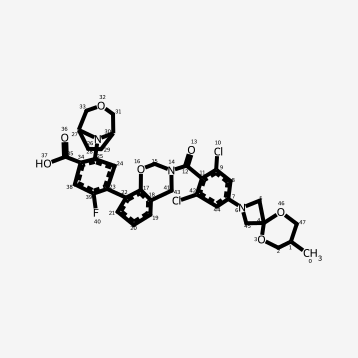 CC1COC2(CN(c3cc(Cl)c(C(=O)N4COc5c(cccc5-c5cc(N6C7CCC6COC7)c(C(=O)O)cc5F)C4)c(Cl)c3)C2)OC1